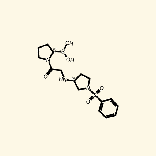 O=C(CN[C@H]1CCN(S(=O)(=O)c2ccccc2)C1)N1CCC[C@H]1B(O)O